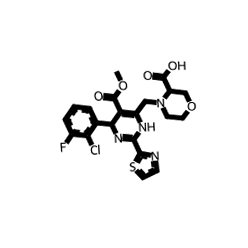 COC(=O)C1=C(CN2CCOCC2C(=O)O)NC(c2nccs2)=NC1c1cccc(F)c1Cl